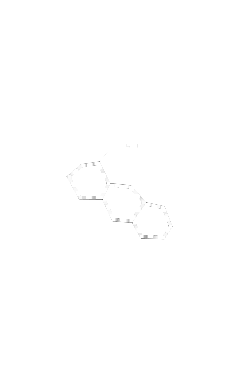 CCCCCCCCc1cccc2cc3ccccc3[c]c12